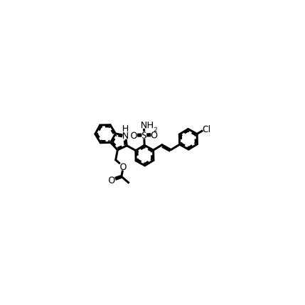 CC(=O)OCc1c(-c2cccc(C=Cc3ccc(Cl)cc3)c2S(N)(=O)=O)[nH]c2ccccc12